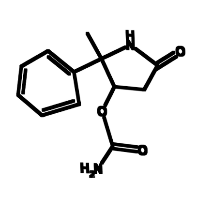 CC1(c2ccccc2)NC(=O)CC1OC(N)=O